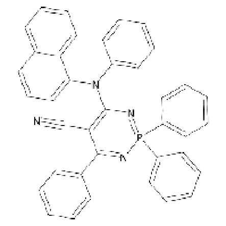 N#CC1=C(N(c2ccccc2)c2cccc3ccccc23)N=P(c2ccccc2)(c2ccccc2)N=C1c1ccccc1